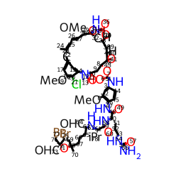 COc1cc(NC(O)O[C@H]2CC(=O)N(C)c3cc(cc(OC)c3Cl)C/C(C)=C/C=C/[C@@H](OC)[C@@]3(O)C[C@H](OC(=O)N3)[C@@H](C)[C@@H]3O[C@@]23C)ccc1NC(=O)[C@H](CCCNC(N)=O)NC(=O)[C@@H](NC(C=O)CCCC(C)(C)OC(C=O)(CBr)CBr)C(C)C